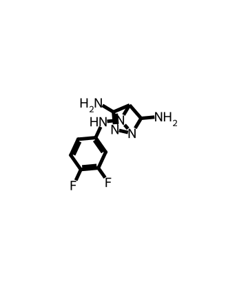 NC1=NN2C(N)C1N2Nc1ccc(F)c(F)c1